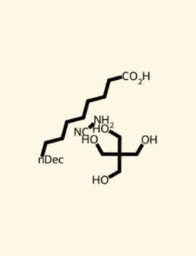 CCCCCCCCCCCCCCCCCC(=O)O.N#CN.OCC(CO)(CO)CO